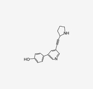 Oc1ccc(-c2cncc(C#CC3CCCN3)c2)cc1